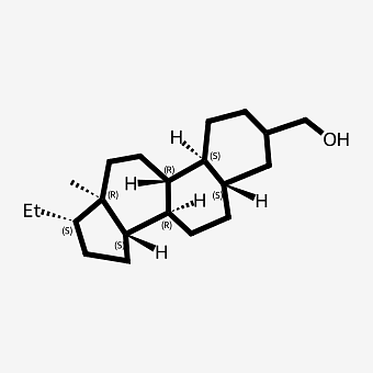 CC[C@H]1CC[C@H]2[C@@H]3CC[C@H]4CC(CO)CC[C@@H]4[C@H]3CC[C@]12C